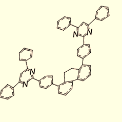 C1=C=CC(c2cc(-c3ccccc3)nc(-c3ccc(-c4cccc5c4CCc4c(-c6ccc(-c7nc(-c8ccccc8)cc(-c8ccccc8)n7)cc6)cccc4-5)cc3)n2)=CC=1